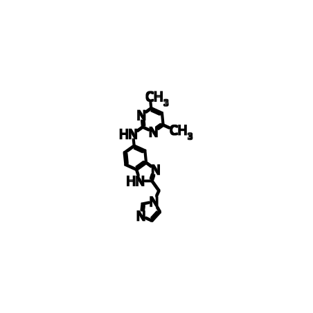 Cc1cc(C)nc(Nc2ccc3[nH]c(Cn4ccnc4)nc3c2)n1